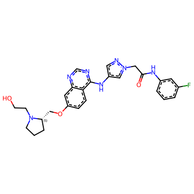 O=C(Cn1cc(Nc2ncnc3cc(OC[C@@H]4CCCN4CCO)ccc23)cn1)Nc1cccc(F)c1